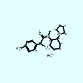 CN(C(=O)C(c1ccc(N)cc1)C(F)(F)F)C1CCCCC1N1CCCC1.Cl